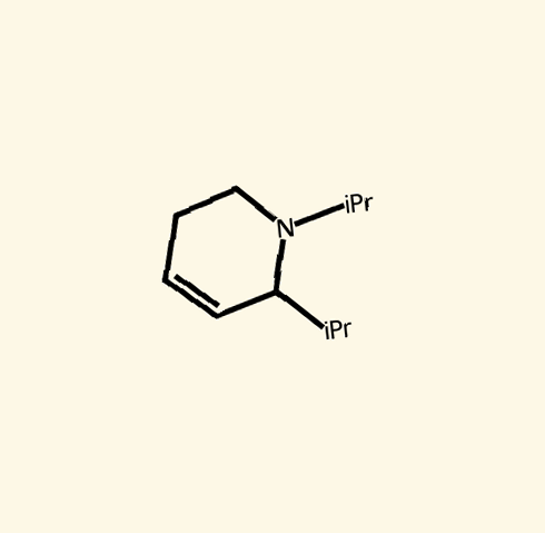 CC(C)C1C=CCCN1C(C)C